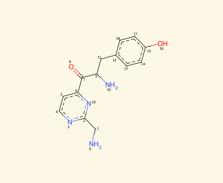 NCc1nccc(C(=O)C(N)Cc2ccc(O)cc2)n1